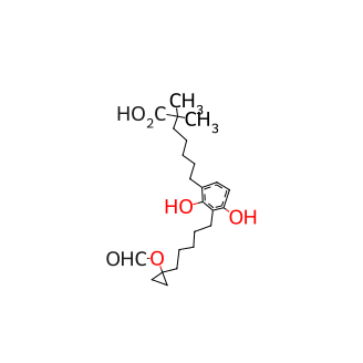 CC(C)(CCCCCc1ccc(O)c(CCCCCC2(OC=O)CC2)c1O)C(=O)O